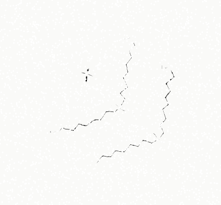 CCCCCCCCCCCCCCCCCCC[N+](C)(C)CCCCCCCCCCCCCCCCCC.CCCCCCCCCCCCCCCCCCC[N+](C)(C)CCCCCCCCCCCCCCCCCC.O=S(=O)([O-])[O-]